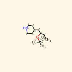 CCC(CC1CCNCC1)OC(C)(C)C